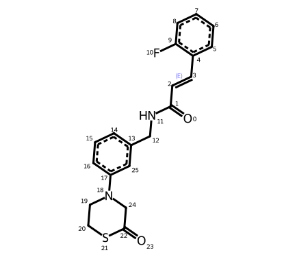 O=C(/C=C/c1ccccc1F)NCc1cccc(N2CCSC(=O)C2)c1